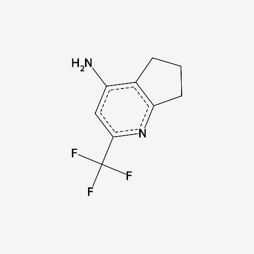 Nc1cc(C(F)(F)F)nc2c1CCC2